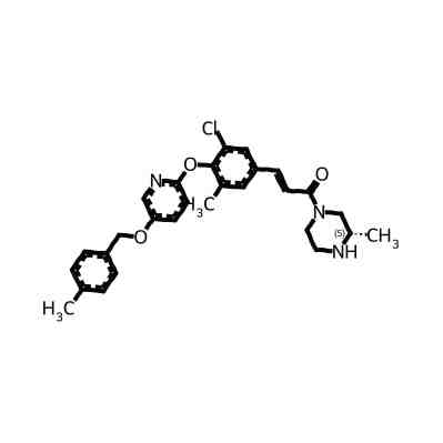 Cc1ccc(COc2ccc(Oc3c(C)cc(C=CC(=O)N4CCN[C@@H](C)C4)cc3Cl)nc2)cc1